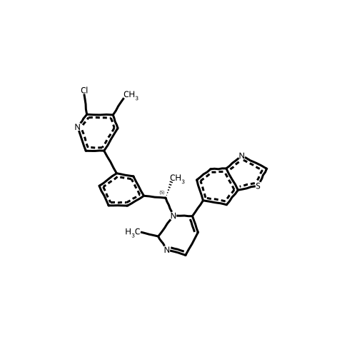 Cc1cc(-c2cccc([C@H](C)N3C(c4ccc5ncsc5c4)=CC=NC3C)c2)cnc1Cl